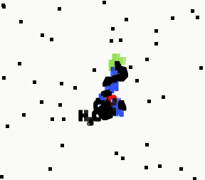 CCN(CCn1ccc(-c2cccc(C(F)(F)F)n2)n1)C(=O)c1cc(C)ccc1-n1nccn1